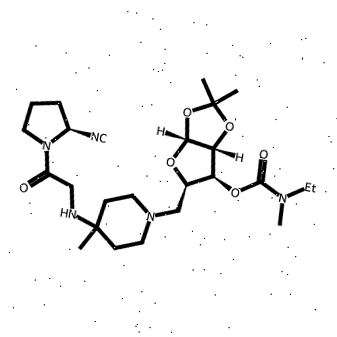 [C-]#[N+][C@@H]1CCCN1C(=O)CNC1(C)CCN(C[C@H]2O[C@@H]3OC(C)(C)O[C@@H]3[C@H]2OC(=O)N(C)CC)CC1